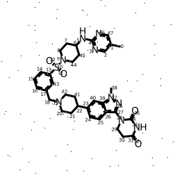 Cc1cnc(NC2CCN(S(=O)(=O)c3cccc(CN4CCC(c5ccc6c(N7CCC(=O)NC7=O)nn(C)c6c5)CC4)c3)CC2)nc1